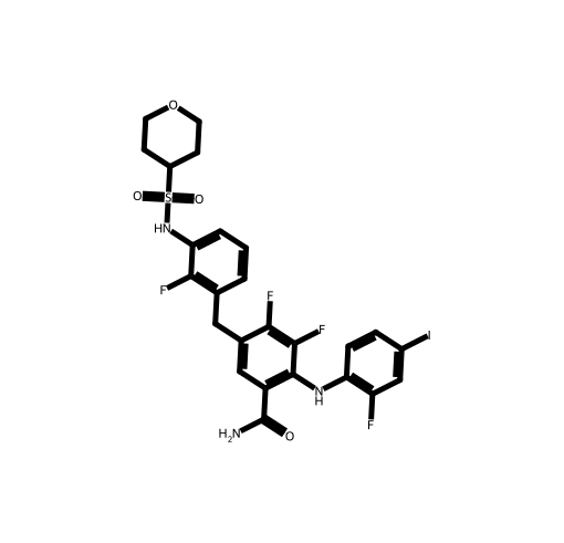 NC(=O)c1cc(Cc2cccc(NS(=O)(=O)C3CCOCC3)c2F)c(F)c(F)c1Nc1ccc(I)cc1F